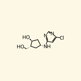 OC[C@H]1C[C@@H](Nc2cc(Cl)ncn2)C[C@@H]1O